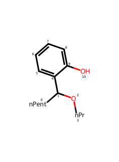 CCCCCC(OCCC)c1ccccc1O